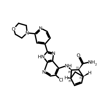 NC(=O)[C@@H]1[C@H](Nc2c(Cl)cnc3[nH]c(-c4ccnc(N5CCOCC5)c4)nc23)[C@H]2C=C[C@@H]1C2